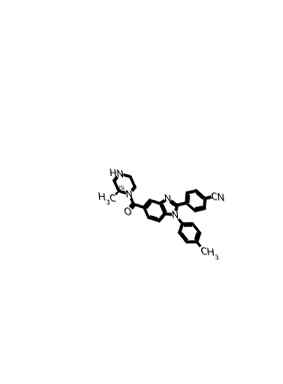 Cc1ccc(-n2c(-c3ccc(C#N)cc3)nc3cc(C(=O)N4CCNC[C@@H]4C)ccc32)cc1